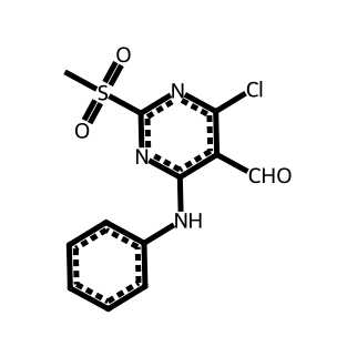 CS(=O)(=O)c1nc(Cl)c(C=O)c(Nc2ccccc2)n1